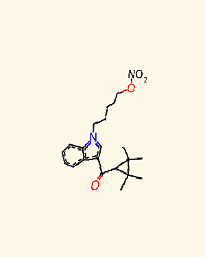 CC1(C)C(C(=O)c2cn(CCCCCO[N+](=O)[O-])c3ccccc23)C1(C)C